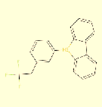 FC(F)(F)Cc1cccc([SH]2c3ccccc3-c3ccccc32)c1